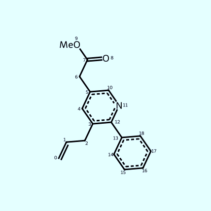 C=CCc1cc(CC(=O)OC)cnc1-c1ccccc1